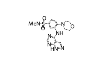 CNS(=O)(=O)c1ccc(N2CCOCC2)c(Nc2ncnc3[nH]ncc23)c1